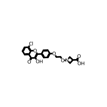 O=C(O)C1CN(OCCOc2ccc(-c3oc4c(Cl)cccc4c(=O)c3O)cc2)C1